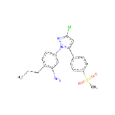 CCCc1ccc(-n2nc(Cl)cc2-c2ccc(S(C)(=O)=O)cc2)cc1N